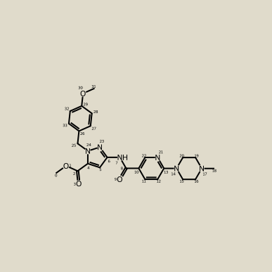 COC(=O)c1cc(NC(=O)c2ccc(N3CCN(C)CC3)nc2)nn1Cc1ccc(OC)cc1